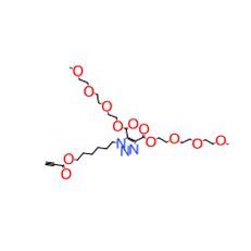 C#CC(=O)OCCCCCCn1nnc(C(=O)OCCOCCOCCOC)c1C(=O)OCCOCCOCCOC